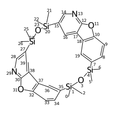 C[Si]1(C)O[Si](C)(C)c2ccc3oc4ncc(cc4c3c2)[Si](C)(C)O[Si](C)(C)c2cnc3oc4ccc1cc4c3c2